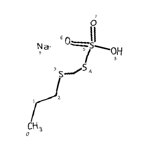 CCCSSS(=O)(=O)O.[Na]